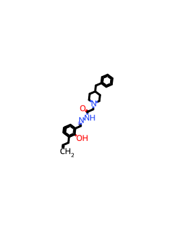 C=CCc1c#ccc(/C=N/NC(=O)CN2CCC(Cc3ccccc3)CC2)c1O